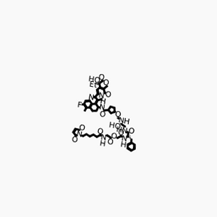 CC[C@@]1(O)C(=O)OCc2c1cc1n(c2=O)Cc2c-1nc1cc(F)c(C)c3c1c2C(NC(=O)C1CCC(OCNC(O)CNC(=O)[C@H](Cc2ccccc2)NC(=O)COC(=O)CNC(=O)CCCCCN2C(=O)C=CC2=O)C1)CC3